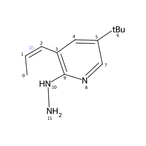 C/C=C\c1cc(C(C)(C)C)cnc1NN